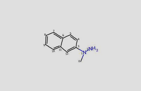 CN(N)c1ccc2ccccc2c1